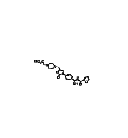 CCOC(=O)CN1CCN(CC2CN(c3ccc(C(=N)NC(=O)c4ccco4)cc3)C(=O)O2)CC1